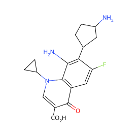 Nc1c(C2CCC(N)C2)c(F)cc2c(=O)c(C(=O)O)cn(C3CC3)c12